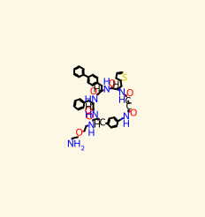 NCCOCCNC(=O)[C@@H]1Cc2ccc(cc2)NC(=O)CCC(=O)N[C@H](CC2CC=CS2)C(=O)N[C@@H](Cc2ccc(-c3ccccc3)cc2)C(=O)N[C@H](Cc2ccccc2)C(=O)N1